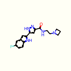 O=C(NCCN1CCC1)c1cc(-c2cc3cc(F)ccc3[nH]2)[nH]n1